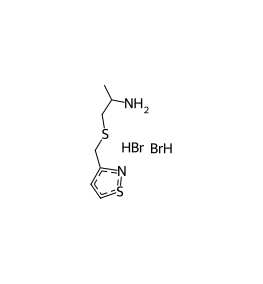 Br.Br.CC(N)CSCc1ccsn1